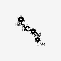 COc1ccc(S(=O)(=O)Nc2ccc(N3CCC(NC[C@H](O)c4ccccc4)CC3)cc2)cc1